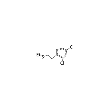 CCSCCc1ccc(Cl)cc1Cl